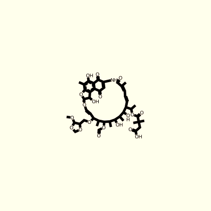 COC1OCOC1COC1/C=C/OC2(C)Oc3c(C)c(O)c4c(c3C2O)C(=O)C=C(NC(=O)/C(C)=C\C=C\C(C(C)OC(=O)C(C)(C)CC(=O)O)C(O)C(C)C(O)C(C)C(OC=O)C1C)C4=O